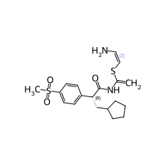 C=C(NC(=O)[C@H](CC1CCCC1)c1ccc(S(C)(=O)=O)cc1)S/C=C\N